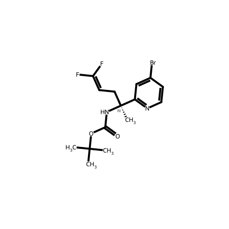 CC(C)(C)OC(=O)N[C@@](C)(CC=C(F)F)c1cc(Br)ccn1